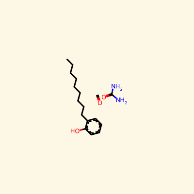 C=O.CCCCCCCCCc1ccccc1O.NC(N)=O